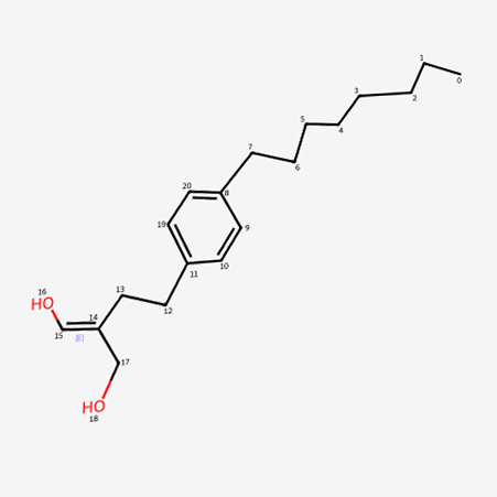 CCCCCCCCc1ccc(CC/C(=C\O)CO)cc1